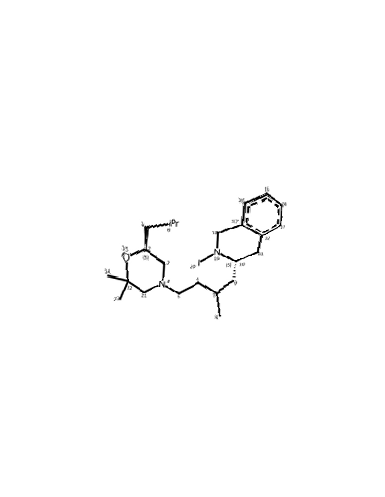 CC(C)C[C@H]1CN(CCC(C)C[C@H]2Cc3ccccc3CN2I)CC(C)(C)O1